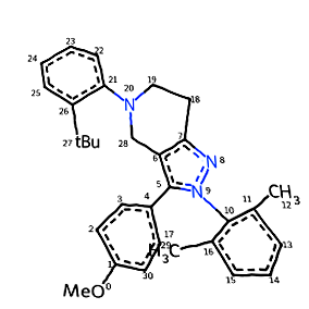 COc1ccc(-c2c3c(nn2-c2c(C)cccc2C)CCN(c2ccccc2C(C)(C)C)C3)cc1